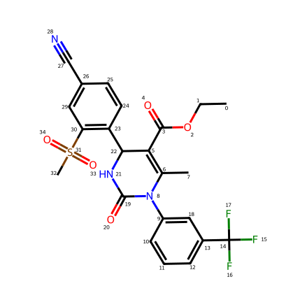 CCOC(=O)C1=C(C)N(c2cccc(C(F)(F)F)c2)C(=O)NC1c1ccc(C#N)cc1S(C)(=O)=O